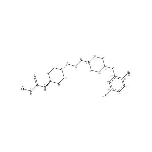 CCNC(=O)N[C@H]1CC[C@H](CCCN2CCC(Cc3cc(F)ccc3Br)CC2)CC1